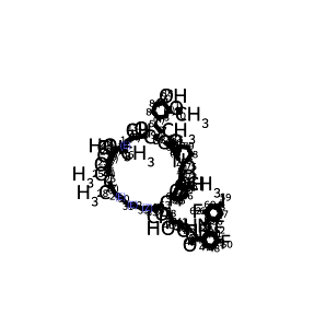 CO[C@@H]1C[C@@H](CC(C)[C@@H]2CC(=O)[C@H](C)/C=C(\C)[C@@H](O)[C@@H](OC)C(=O)[C@H](C)C[C@H](C)/C=C/C=C/C=C(/C)[C@H](OC[C@@H](O)CONC(=O)c3ccc(F)c(F)c3Nc3ccc(I)cc3F)C[C@@H]3CC[C@@H](C)[C@@](O)(O3)C(=O)C(=O)N3CCCC[C@H]3C(=O)O2)CC[C@H]1O